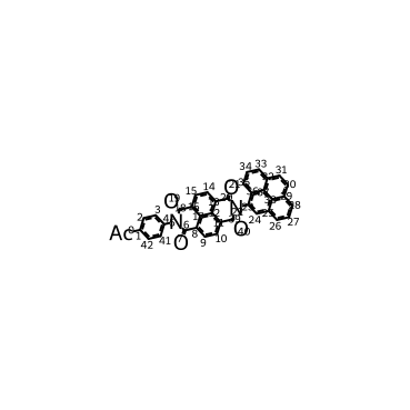 CC(=O)c1ccc(N2C(=O)c3ccc4c5c(ccc(c35)C2=O)C(=O)N(c2cc3cccc5ccc6cccc2c6c53)C4=O)cc1